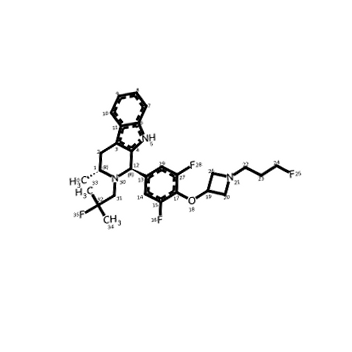 C[C@@H]1Cc2c([nH]c3ccccc23)[C@@H](c2cc(F)c(OC3CN(CCCF)C3)c(F)c2)N1CC(C)(C)F